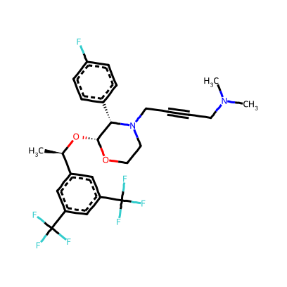 C[C@@H](O[C@H]1OCCN(CC#CCN(C)C)[C@H]1c1ccc(F)cc1)c1cc(C(F)(F)F)cc(C(F)(F)F)c1